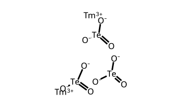 O=[Te]([O-])[O-].O=[Te]([O-])[O-].O=[Te]([O-])[O-].[Tm+3].[Tm+3]